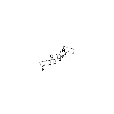 CN(Cc1nsc(NC(=O)NCc2cccc(F)c2)n1)C(=O)C1CCCCC1